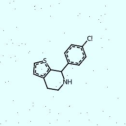 Clc1ccc(C2NCCc3ccsc32)cc1